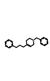 C1=C(CCCc2ccccc2)CCN(Cc2ccccc2)C1